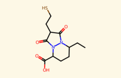 CCC1CCC(C(=O)O)N2C(=O)C(CCS)C(=O)N12